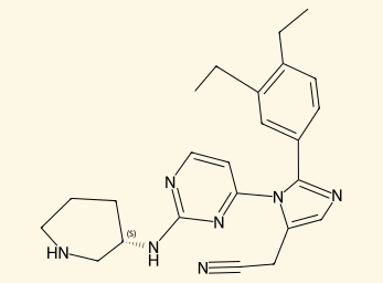 CCc1ccc(-c2ncc(CC#N)n2-c2ccnc(N[C@H]3CCCNC3)n2)cc1CC